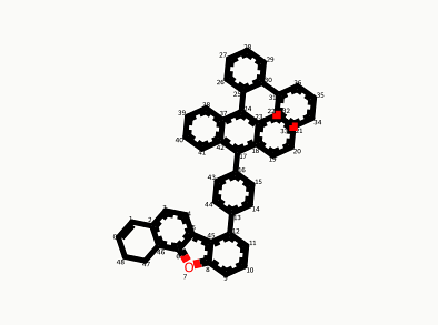 C1=Cc2ccc3c(oc4cccc(-c5ccc(-c6c7ccccc7c(-c7ccccc7-c7ccccc7)c7ccccc67)cc5)c43)c2CC1